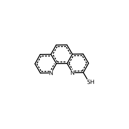 Sc1ccc2ccc3cccnc3c2n1